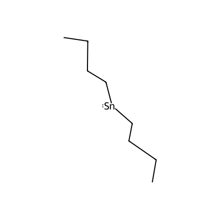 CCC[CH2][Sn][CH2]CCC